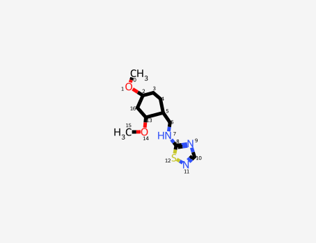 COC1CCC(CNc2ncns2)C(OC)C1